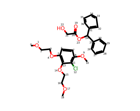 COCCOc1ccc(OC)c(Cl)c1OCCOC.O=C(CO)OC(c1ccccc1)c1ccccc1